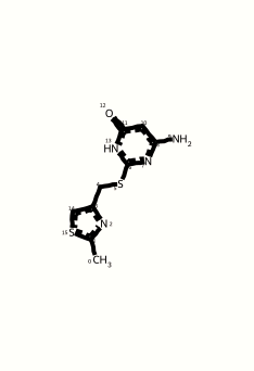 Cc1nc(CSc2nc(N)cc(=O)[nH]2)cs1